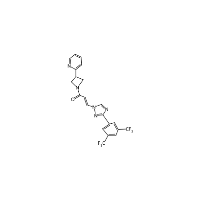 O=C(C=Cn1cnc(-c2cc(C(F)(F)F)cc(C(F)(F)F)c2)n1)N1CC(c2ccccn2)C1